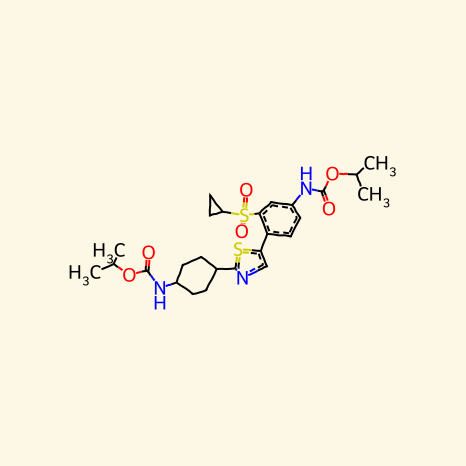 CC(C)OC(=O)Nc1ccc(-c2cnc(C3CCC(NC(=O)OC(C)C)CC3)s2)c(S(=O)(=O)C2CC2)c1